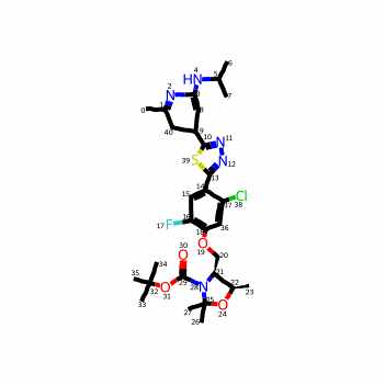 CC1=NC(NC(C)C)=CC(c2nnc(-c3cc(F)c(OC[C@H]4[C@@H](C)OC(C)(C)N4C(=O)OC(C)(C)C)cc3Cl)s2)C1